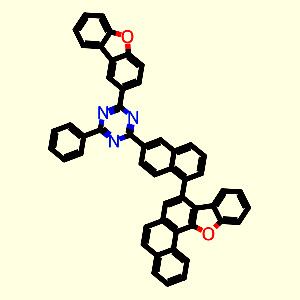 c1ccc(-c2nc(-c3ccc4c(-c5cc6ccc7ccccc7c6c6oc7ccccc7c56)cccc4c3)nc(-c3ccc4oc5ccccc5c4c3)n2)cc1